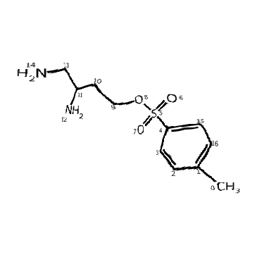 Cc1ccc(S(=O)(=O)OCCC(N)CN)cc1